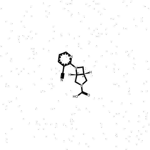 N#Cc1cccnc1N1C[C@@H]2CN(C(=O)O)C[C@@H]21